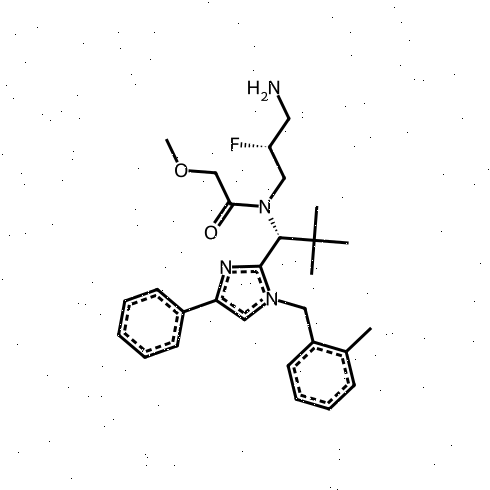 COCC(=O)N(C[C@H](F)CN)[C@@H](c1nc(-c2ccccc2)cn1Cc1ccccc1C)C(C)(C)C